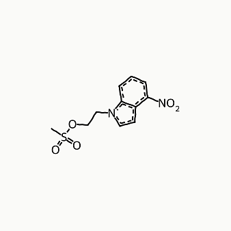 CS(=O)(=O)OCCn1ccc2c([N+](=O)[O-])cccc21